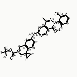 Cc1nn(-c2c(Cl)cccc2Cl)c(=O)c2cnc(Nc3ccc4c(c3)CN(C(=O)OC(C)(C)C)CC43CC3)nc12